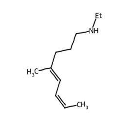 C/C=C\C=C(/C)CCCNCC